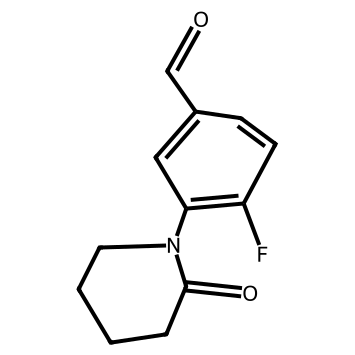 O=Cc1ccc(F)c(N2CCCCC2=O)c1